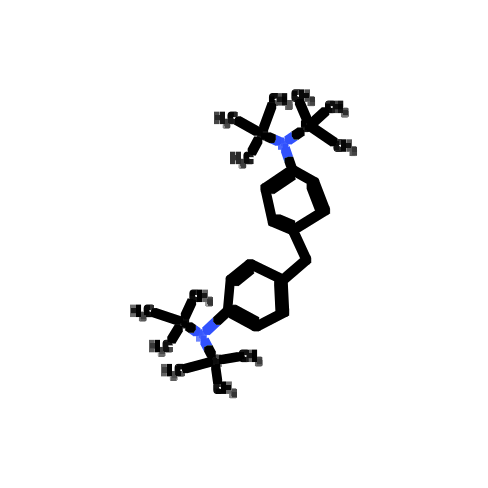 C[Si](C)(C)N(c1ccc(Cc2ccc(N([Si](C)(C)C)[Si](C)(C)C)cc2)cc1)[Si](C)(C)C